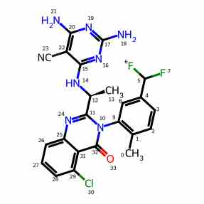 Cc1ccc(C(F)F)cc1-n1c([C@H](C)Nc2nc(N)nc(N)c2C#N)nc2cccc(Cl)c2c1=O